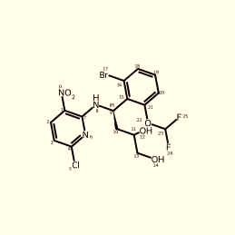 O=[N+]([O-])c1ccc(Cl)nc1N[C@H](CC(O)CO)c1c(Br)cccc1OC(F)F